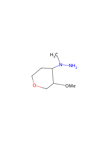 COC1COCCC1N(C)N